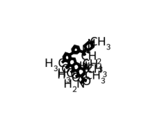 C=C(c1cccc(-c2ccc(C)c3c2CC2C[C@H]4C(N(C)C)C(C)=C(C(N)=O)C(=O)[C@@]4(C)C(O)=C2C3=O)c1)N1CCN(C)CC1